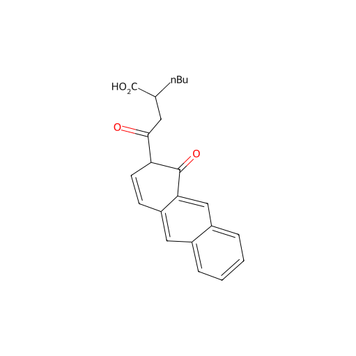 CCCCC(CC(=O)C1C=Cc2cc3ccccc3cc2C1=O)C(=O)O